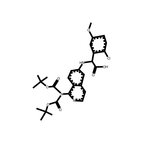 COc1ccc(Cl)c(C(Nc2ccc3c(N(C(=O)OC(C)(C)C)C(=O)OC(C)(C)C)nccc3c2)C(=O)O)c1